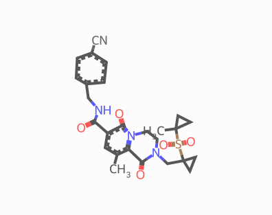 Cc1cc(C(=O)NCc2ccc(C#N)cc2)c(=O)n2c1C(=O)N(CC1(S(=O)(=O)C3(C)CC3)CC1)CC2